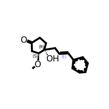 CO[C@H]1CC(=O)CC[C@@]1(O)C/C=C/c1ccccc1